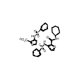 O=C(NC1CCCCC1)c1sccc1NS(=O)(=O)c1ccccc1.O=C(O)c1sccc1NS(=O)(=O)c1ccccc1